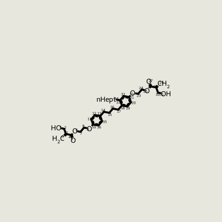 C=C(CO)C(=O)OCCOc1ccc(CCCCc2ccc(OCCOC(=O)C(=C)CO)cc2CCCCCCC)cc1